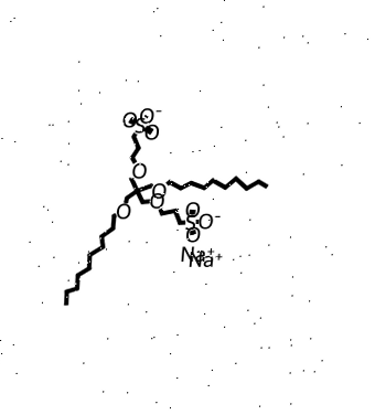 CCCCCCCCCCOCC(COCCCCCCCCCC)(COCCCS(=O)(=O)[O-])COCCCS(=O)(=O)[O-].[Na+].[Na+]